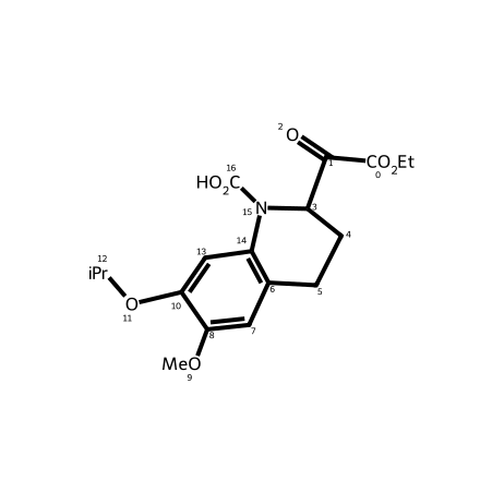 CCOC(=O)C(=O)C1CCc2cc(OC)c(OC(C)C)cc2N1C(=O)O